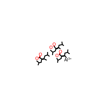 C/C(CC(C)C)=C(\CC(C)C)C(=O)[O-].C/C(CC(C)C)=C(\CC(C)C)C(=O)[O-].C/C(CC(C)C)=C(\CC(C)C)C(=O)[O-].[Al+3]